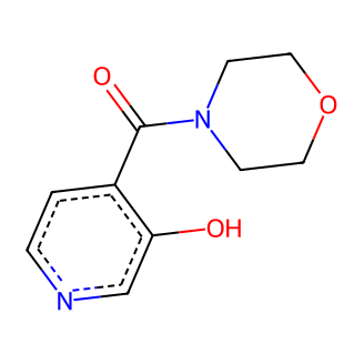 O=C(c1ccncc1O)N1CCOCC1